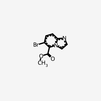 COC(=O)c1c(Br)ccc2nccn12